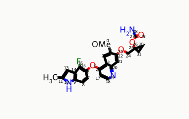 COc1cc2c(Oc3ccc4[nH]c(C)cc4c3F)ccnc2cc1OCC1(OC(N)=O)CC1